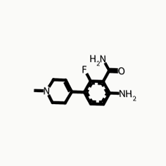 CN1CC=C(c2ccc(N)c(C(N)=O)c2F)CC1